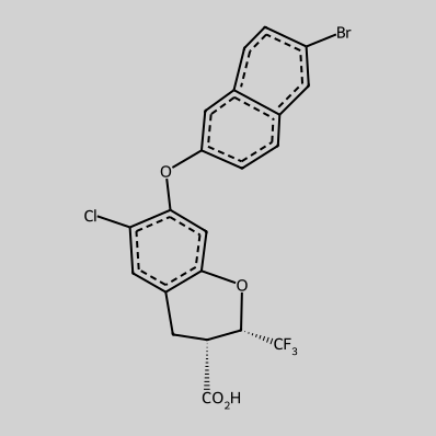 O=C(O)[C@@H]1Cc2cc(Cl)c(Oc3ccc4cc(Br)ccc4c3)cc2O[C@@H]1C(F)(F)F